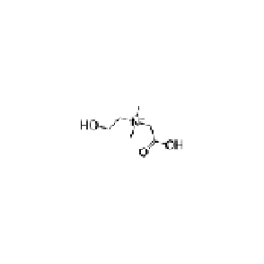 C[N+](C)(CCO)CC(=O)O